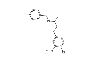 COc1cc(CCC(C)NCc2ccc(C)cc2)ccc1O